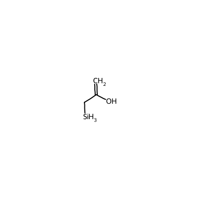 C=C(O)C[SiH3]